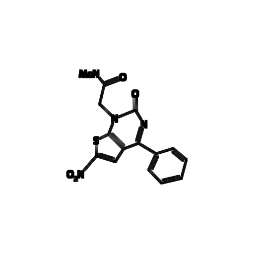 CNC(=O)Cn1c(=O)nc(-c2ccccc2)c2cc([N+](=O)[O-])sc21